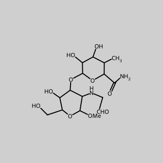 COC1OC(CO)C(O)C(OC2OC(C(N)=O)C(C)C(O)C2O)C1NCC=O